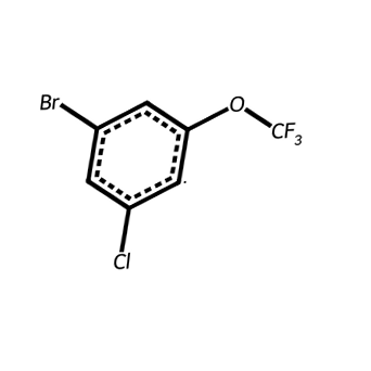 FC(F)(F)Oc1[c]c(Cl)cc(Br)c1